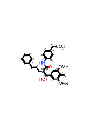 COc1cc([C@@H](O)[C@@H](CCCc2ccccc2)C(=O)Nc2ccc(CC(=O)O)cc2)cc(OC)c1C